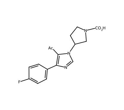 CC(=O)c1c(-c2ccc(F)cc2)ncn1C1CCN(C(=O)O)C1